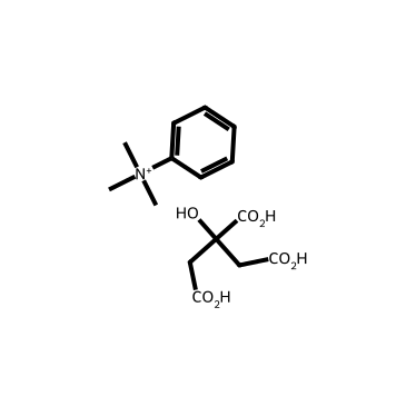 C[N+](C)(C)c1ccccc1.O=C(O)CC(O)(CC(=O)O)C(=O)O